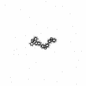 O=P(c1ccccc1)(c1ccccc1)c1ccc2cc(-c3ccc4oc5ccc(-c6ccc7oc8ccccc8c7c6)cc5c4c3)ccc2c1